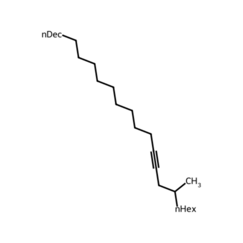 [CH2]CCCCCCCCCCCCCCCCCCC#CCC(C)CCCCC[CH2]